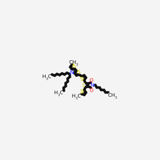 CCCCCCCCC(CCCCCCCC)n1c2cc(C)sc2c2sc(-c3ccc(-c4sc(-c5ccc(C)s5)c5c4C(=O)N(CCCCCCCC)C5=O)s3)cc21